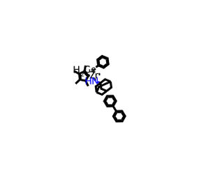 CC1=C(C)C(C)[C]([Zr]([CH3])([NH]C23CC4CC(CC(C4)C2)C3)[GeH2][c]2ccccc2)=C1C.c1ccc(-c2ccccc2)cc1